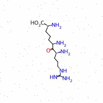 N=C(N)NCCC[C@H](N)C(=O)C(N)CCC[C@H](N)C(=O)O